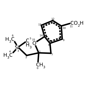 CC1(C[Si](C)(C)C)Cc2cc(C(=O)O)ccc2O1